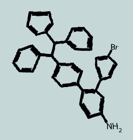 Nc1ccc(-c2ccc(C(c3ccccc3)C(c3ccccc3)c3ccccc3)cc2)c(-c2ccc(Br)cc2)c1